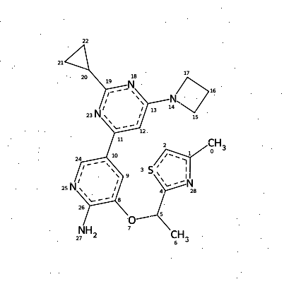 Cc1csc(C(C)Oc2cc(-c3cc(N4CCC4)nc(C4CC4)n3)cnc2N)n1